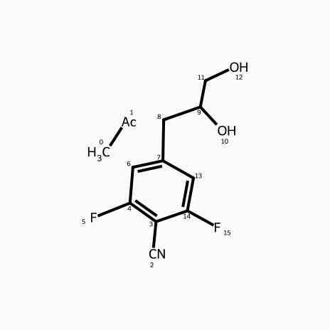 CC(C)=O.N#Cc1c(F)cc(CC(O)CO)cc1F